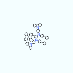 c1ccc(-c2ccc(N(c3ccc(-n4c5ccccc5c5ccccc54)cc3)c3cc(-c4cccc5c4-c4ccccc4C54c5ccccc5-c5ccccc54)cc(N(c4ccc(-c5ccccc5)cc4)c4ccc(-n5c6ccccc6c6ccccc65)cc4)c3)cc2)cc1